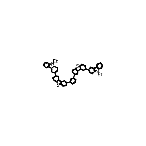 CCN1c2ccccc2C2=CC(c3ccc4sc5ccc(-c6cccc(-c7ccc8sc9ccc(-c%10ccc%11c(c%10)c%10ccccc%10n%11CC)cc9c8c7)c6)cc5c4c3)=CCC21